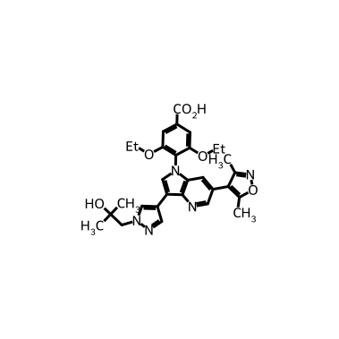 CCOc1cc(C(=O)O)cc(OCC)c1-n1cc(-c2cnn(CC(C)(C)O)c2)c2ncc(-c3c(C)noc3C)cc21